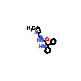 Cc1cccc(C=NNC(=O)c2[nH]c3ccccc3c2-c2ccccc2)n1